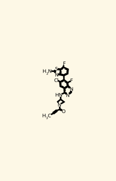 CC#CC(=O)N1CC(Nc2ncnc3c(F)c(-c4ccc(F)c5sc(N)nc45)c(Cl)cc23)C1